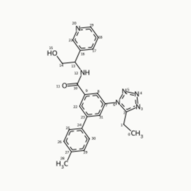 CCc1nnnn1-c1cc(C(=O)NC(CO)c2cccnc2)cc(-c2ccc(C)cc2)c1